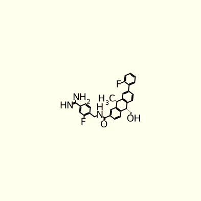 C[C@H]1c2cc(C(=O)NCc3ccc(C(=N)N)cc3F)ccc2[C@@H](CO)c2ccc(-c3ccccc3F)cc21